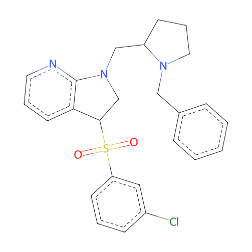 O=S(=O)(c1cccc(Cl)c1)C1CN(CC2CCCN2Cc2ccccc2)c2ncccc21